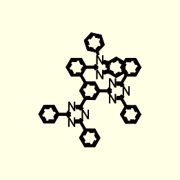 c1ccc(-c2nc(-c3ccccc3)nc(-c3cc(-c4nc(-c5ccccc5)nc(-c5ccccc5)n4)cc(-c4ccccc4-c4nc5ccccc5n4-c4ccccc4)c3)n2)cc1